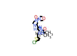 CC(C)(C)C(=O)n1nc(C2CN(C(=O)N3CCOCC3)CCN2)cc1NCc1ccc(Cl)s1